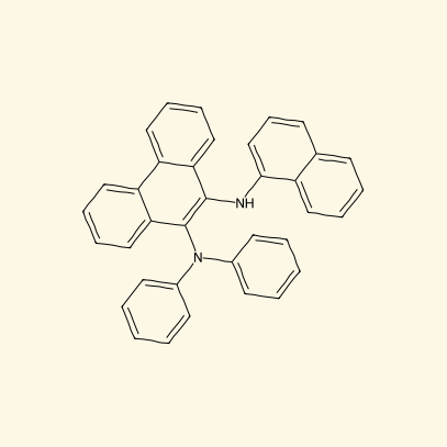 c1ccc(N(c2ccccc2)c2c(Nc3cccc4ccccc34)c3ccccc3c3ccccc23)cc1